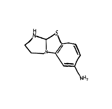 Nc1ccc2c(c1)N1CCNC1S2